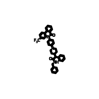 O=C(Nc1ccc(N2CCC(C(C(=O)NCc3ccccc3)c3ccccc3)CC2)cc1)c1ccccc1-c1ccc(C(F)(F)F)cc1